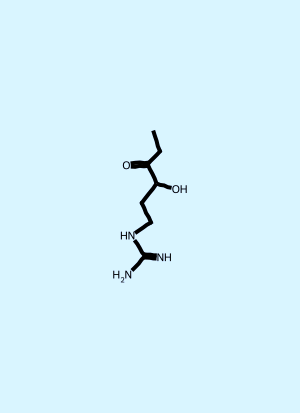 CCC(=O)C(O)CCNC(=N)N